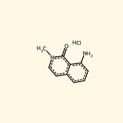 Cl.Cn1ccc2cccc(N)c2c1=O